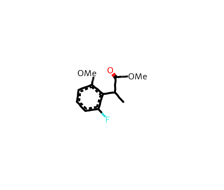 COC(=O)C(C)c1c(F)cccc1OC